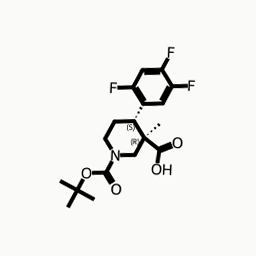 CC(C)(C)OC(=O)N1CC[C@H](c2cc(F)c(F)cc2F)[C@@](C)(C(=O)O)C1